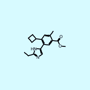 CCc1ncc(-c2cc(C(=O)OC)c(C)cc2C2CCC2)[nH]1